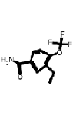 CCc1cc(C(N)=O)ccc1OC(F)(F)F